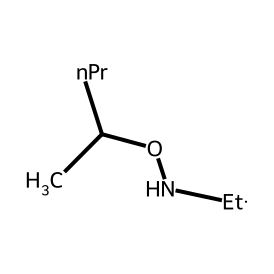 C[CH]NOC(C)CCC